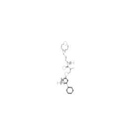 CC(COc1cc(-c2ccccc2)[nH]n1)C(=O)NCCCN1CCOCC1